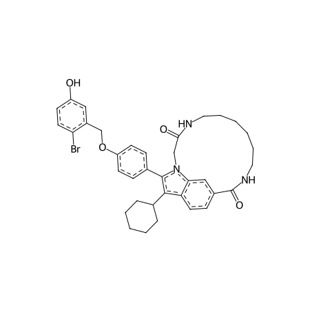 O=C1Cn2c(-c3ccc(OCc4cc(O)ccc4Br)cc3)c(C3CCCCC3)c3ccc(cc32)C(=O)NCCCCCCN1